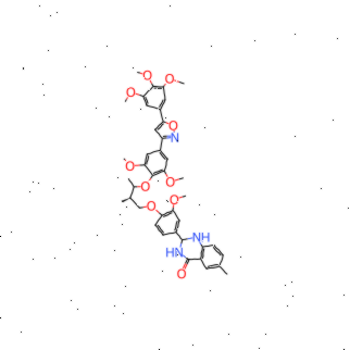 COc1cc(C2NC(=O)c3cc(C)ccc3N2)ccc1OC[C@@H](C)C(C)Oc1c(OC)cc(-c2cc(-c3cc(OC)c(OC)c(OC)c3)on2)cc1OC